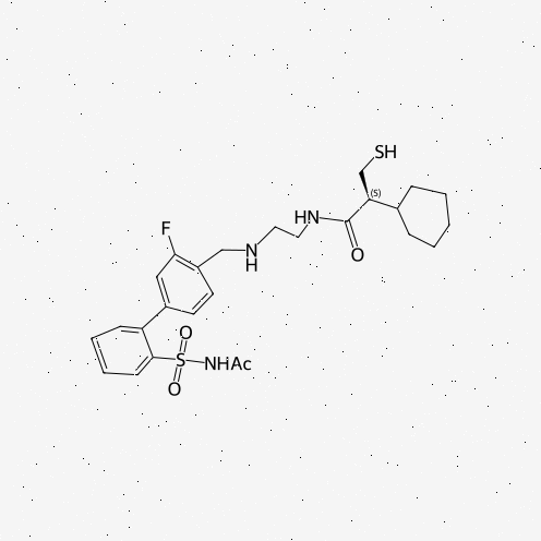 CC(=O)NS(=O)(=O)c1ccccc1-c1ccc(CNCCNC(=O)[C@@H](CS)C2CCCCC2)c(F)c1